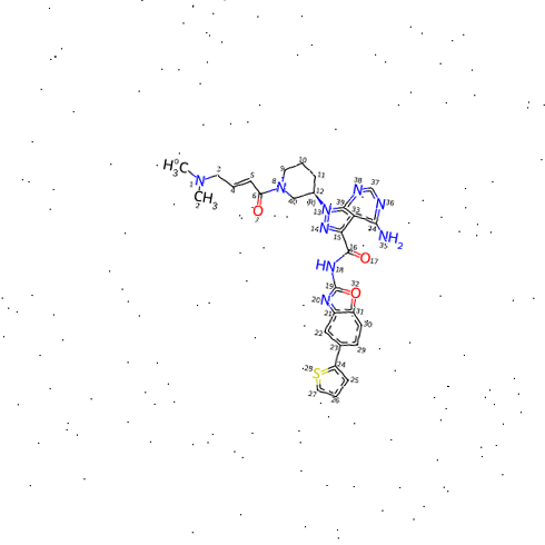 CN(C)CC=CC(=O)N1CCC[C@@H](n2nc(C(=O)Nc3nc4cc(-c5cccs5)ccc4o3)c3c(N)ncnc32)C1